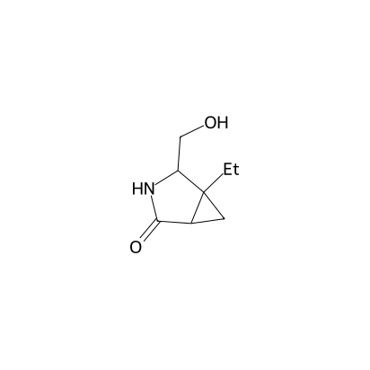 CCC12CC1C(=O)NC2CO